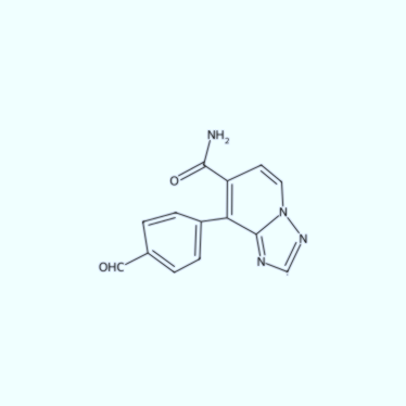 NC(=O)c1ccn2n[c]nc2c1-c1ccc(C=O)cc1